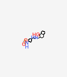 CS(=O)(=O)Nc1ccc(CCNCC2CCc3ccccc3C2O)cc1